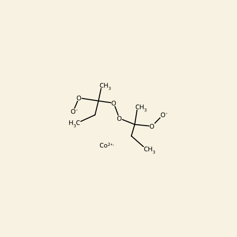 CCC(C)(O[O-])OOC(C)(CC)O[O-].[Co+2]